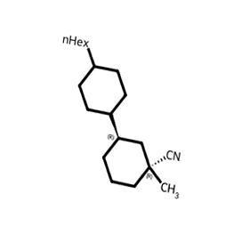 CCCCCCC1CCC([C@@H]2CCC[C@@](C)(C#N)C2)CC1